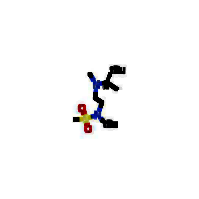 C[C@@H](N(C)CCN(C(C)(C)C)S(C)(=O)=O)C(C)(C)C